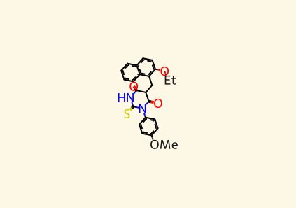 CCOc1ccc2ccccc2c1CC1C(=O)NC(=S)N(c2ccc(OC)cc2)C1=O